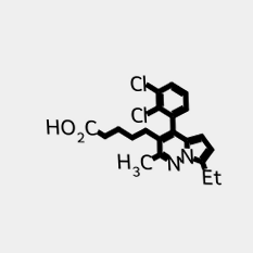 CCc1ccc2c(-c3cccc(Cl)c3Cl)c(CCCCC(=O)O)c(C)nn12